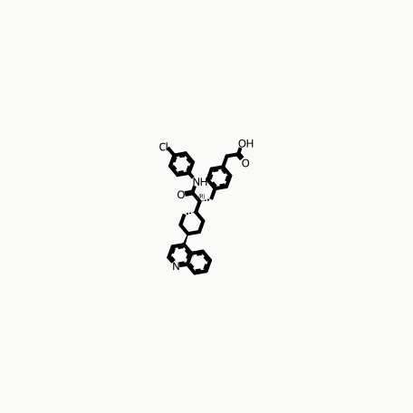 O=C(O)Cc1ccc(C[C@@H](C(=O)Nc2ccc(Cl)cc2)[C@H]2CC[C@H](c3ccnc4ccccc43)CC2)cc1